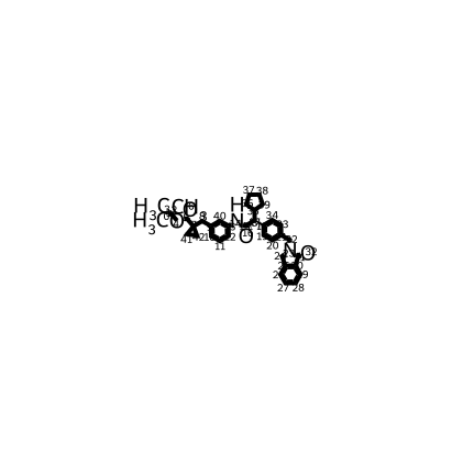 CC(C)(C)OC(=O)C1(Cc2cccc(NC(=O)[C@H](c3ccc(CN4Cc5ccccc5C4=O)cc3)C3CCCC3)c2)CC1